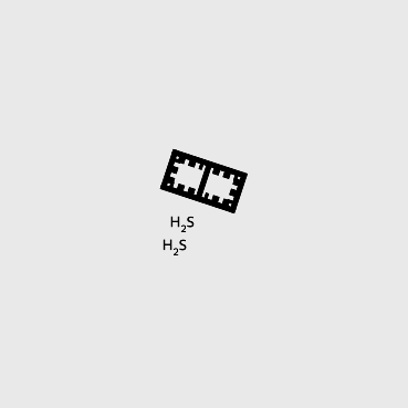 S.S.c1cc2ccc1-2